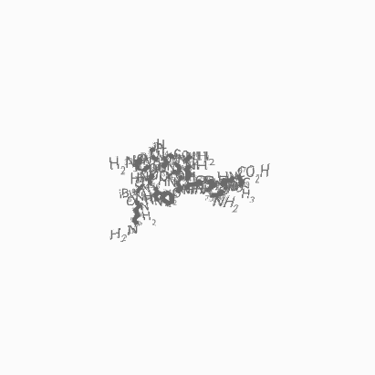 CC[C@H](C)[C@H](NC(=O)[C@@H](N)CCCCN)C(=O)N[C@@H](Cc1c[nH]c2ccccc12)C(=O)N[C@@H](CC(N)=O)C(=O)N[C@@H](CC(C)C)C(=O)N[C@@H](CCC(=O)O)C(=O)N1CCC[C@H]1C(=O)N[C@@H](CO)C(=O)N[C@@H](CCCNC(=N)N)C(=O)N[C@@H](CC(N)=O)C(=O)NCC(=O)N[C@H](C(=O)O)[C@@H](C)O